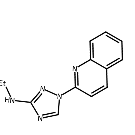 CCNc1ncn(-c2ccc3ccccc3n2)n1